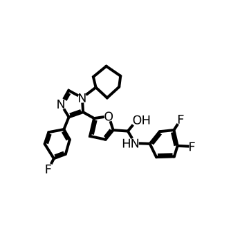 OC(Nc1ccc(F)c(F)c1)c1ccc(-c2c(-c3ccc(F)cc3)ncn2C2CCCCC2)o1